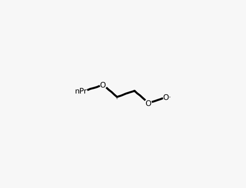 CCCO[CH]CO[O]